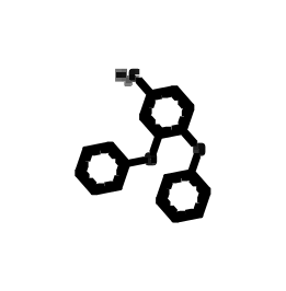 Cc1ccc(Oc2ccccc2)c(Oc2ccccc2)c1